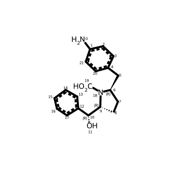 Nc1ccc(C[C@H]2CC[C@H]([C@H](O)c3ccccc3)N2C(=O)O)cc1